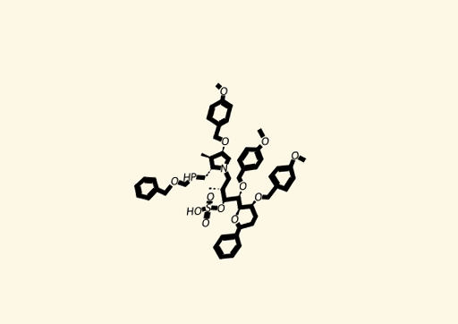 COc1ccc(CO[C@@H]([C@H](OS(=O)(=O)O)[C@H](C)CN2C[C@@H](OCc3ccc(OC)cc3)[C@H](C)[C@H]2CPCOCc2ccccc2)[C@@H]2OC(c3ccccc3)CC[C@@H]2OCc2ccc(OC)cc2)cc1